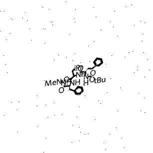 CNNC(=O)[C@H](Cc1ccccc1)NC(=O)C(CC(C)C)NC(=O)[C@H](CCc1ccccc1)NC(=O)OC(C)(C)C